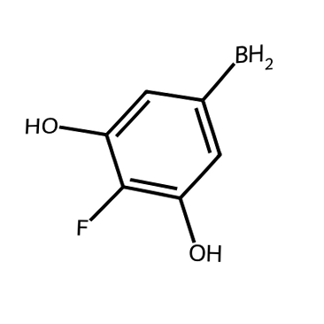 Bc1cc(O)c(F)c(O)c1